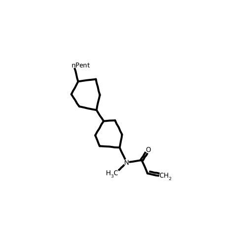 C=CC(=O)N(C)C1CCC(C2CCC(CCCCC)CC2)CC1